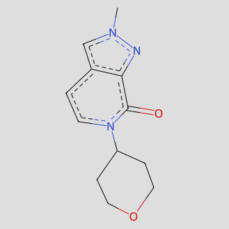 Cn1cc2ccn(C3CCOCC3)c(=O)c2n1